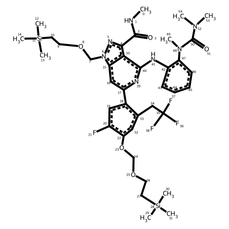 CNC(=O)c1nn(COCC[Si](C)(C)C)c2cc(-c3cc(F)c(OCOCC[Si](C)(C)C)cc3CC(F)(F)F)nc(Nc3ccccc3N(C)C(=O)N(C)C)c12